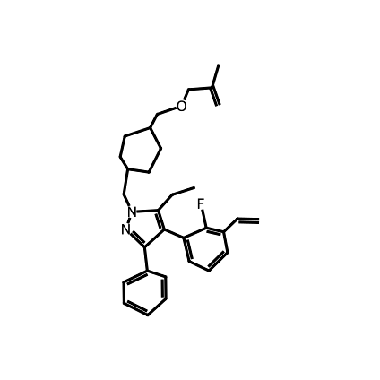 C=Cc1cccc(-c2c(-c3ccccc3)nn(CC3CCC(COCC(=C)C)CC3)c2CC)c1F